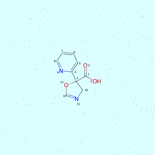 O=C(O)C1(c2ccccn2)CN=CO1